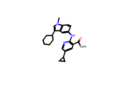 COC(=O)c1cc(C2CC2)cnc1Nc1ccc2c(c1)c(C1CCCCC1)cn2C